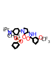 CC(C)N(C)[C@@H]1CC[C@H](N2CC[C@H](NC(=O)c3cccc(OC(F)(F)F)c3)C2=O)[C@H](CS(=O)(=O)c2ccccc2)C1